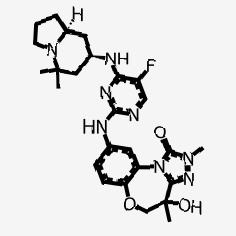 Cn1nc2n(c1=O)-c1cc(Nc3ncc(F)c(N[C@@H]4C[C@@H]5CCCN5C(C)(C)C4)n3)ccc1OCC2(C)O